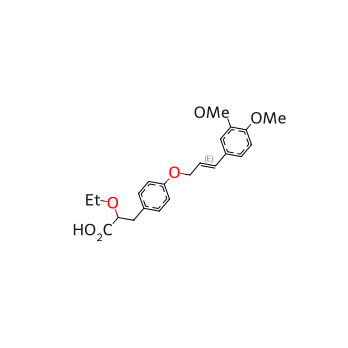 CCOC(Cc1ccc(OC/C=C/c2ccc(OC)c(OC)c2)cc1)C(=O)O